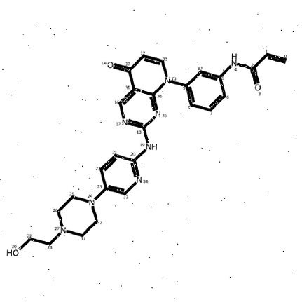 C=CC(=O)Nc1cccc(-n2ccc(=O)c3cnc(Nc4ccc(N5CCN(CCO)CC5)cn4)nc32)c1